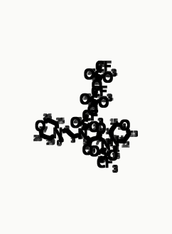 C[N+]1(CCN(C(=O)C(=O)N([N+]2(C)CCOCC2)S(=O)(=O)C(F)(F)F)S(=O)(=O)C(F)(F)F)CCOCC1.O=S(=O)([O-])C(F)(F)F.O=S(=O)([O-])C(F)(F)F